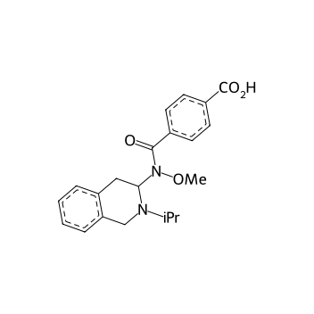 CON(C(=O)c1ccc(C(=O)O)cc1)C1Cc2ccccc2CN1C(C)C